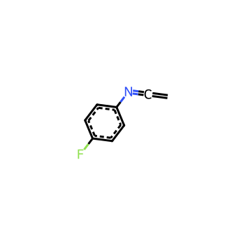 C=C=Nc1ccc(F)cc1